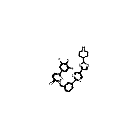 O=c1ccc(-c2cc(F)c(F)c(F)c2)nn1Cc1cccc(-c2ncc(C3=NC(C4CCNCC4)N=C3)cn2)c1